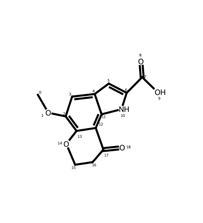 COc1cc2cc(C(=O)O)[nH]c2c2c1OCCC2=O